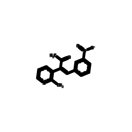 CC(=O)C(=Cc1cccc([N+](=O)[O-])c1)c1cccnc1C